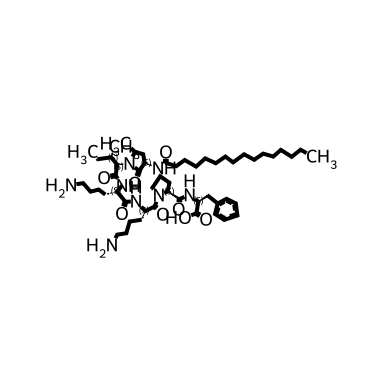 CCCCCCCCCCCCCCCC(=O)N[C@H]1CC(C)N([C@H](C(=O)N[C@@H](CCCCN)C(=O)N[C@@H](CCCCN)C(=O)N2CCC[C@H]2C(=O)N[C@@H](Cc2ccccc2)C(=O)O)[C@@H](C)CC)C1=O